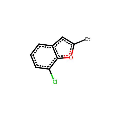 CCc1cc2cccc(Cl)c2o1